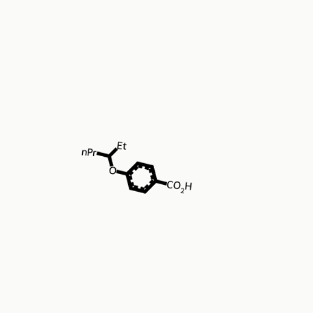 CCCC(CC)Oc1ccc(C(=O)O)cc1